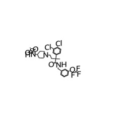 CC(CCN1CCC(NS(C)(=O)=O)CC1)(C(=O)NCc1cccc(OC(F)(F)F)c1)c1ccc(Cl)c(Cl)c1